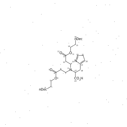 CCCCCCCCCCCCOC(=O)CCN(CCC(=O)OCCCCCCCCCCCC)C(CC1=CCC=N1)C(=O)O